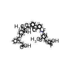 COc1cc(/C(F)=C/c2cccc(-c3cccc(NC(=O)c4nc5c(n4C)CCN(CCC4(CCCC(=O)O)CCCC4)C5)c3Cl)c2Cl)ncc1CN1C[C@@H](O)[C@H](F)C1